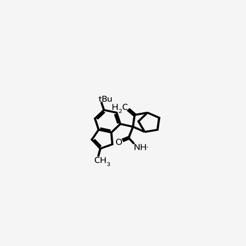 C=C1C2CCC(C2)C1(C([NH])=O)c1cc(C(C)(C)C)cc2c1CC(C)=C2